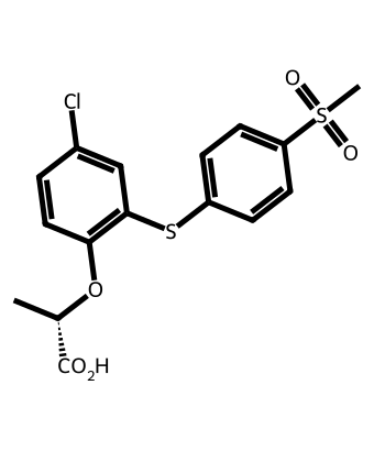 C[C@H](Oc1ccc(Cl)cc1Sc1ccc(S(C)(=O)=O)cc1)C(=O)O